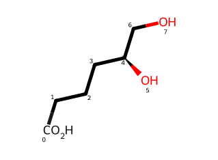 O=C(O)CCC[C@H](O)CO